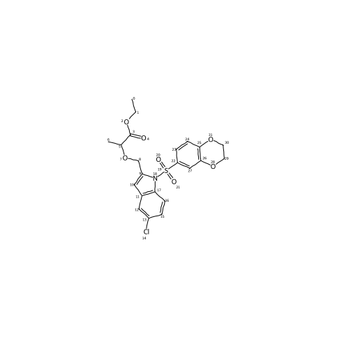 CCOC(=O)C(C)OCc1cc2cc(Cl)ccc2n1S(=O)(=O)c1ccc2c(c1)OCCO2